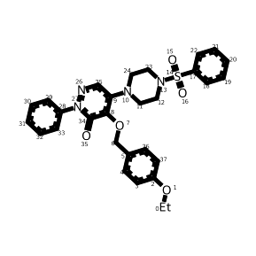 CCOc1ccc(COc2c(N3CCN(S(=O)(=O)c4ccccc4)CC3)cnn(-c3ccccc3)c2=O)cc1